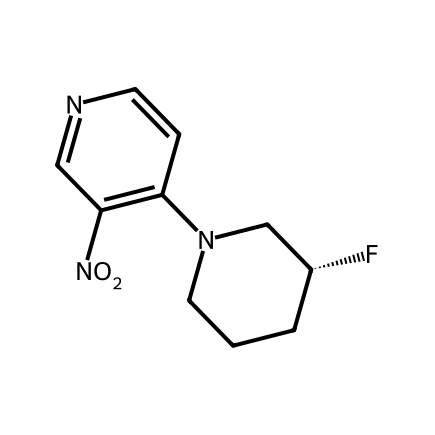 O=[N+]([O-])c1cnccc1N1CCC[C@@H](F)C1